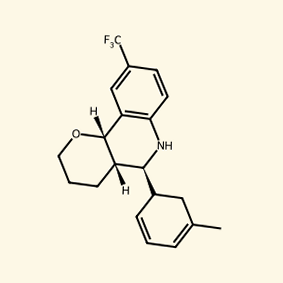 CC1=CC=CC([C@@H]2Nc3ccc(C(F)(F)F)cc3[C@H]3OCCC[C@H]32)C1